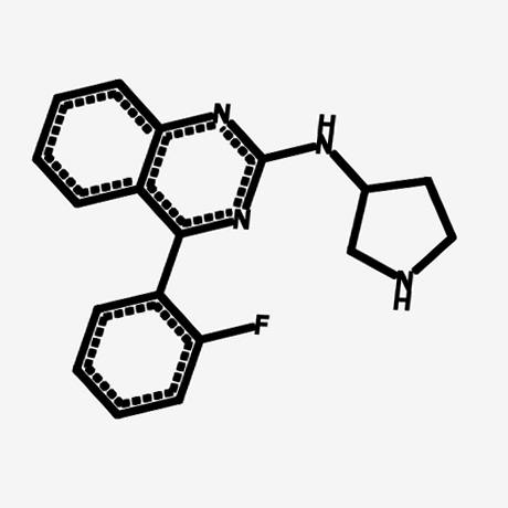 Fc1ccccc1-c1nc(NC2CCNC2)nc2ccccc12